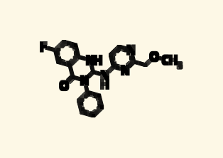 COCc1nccc(NC2Nc3ccc(F)cc3C(=O)N2c2ccccc2)n1